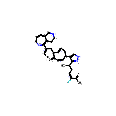 C=C(C)/C(F)=C\CC(C)c1n[nH]cc1C1/C=C\C(=C)C(C/C(=C\C)C2=C3CCNCC3=C=CCN2)/C=C/C1